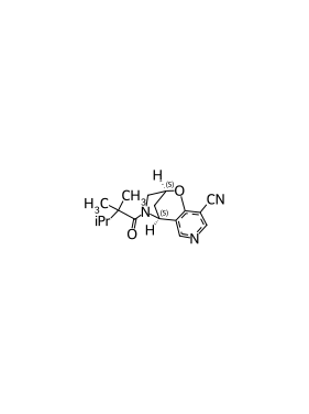 CC(C)C(C)(C)C(=O)N1C[C@@H]2C[C@H]1c1cncc(C#N)c1O2